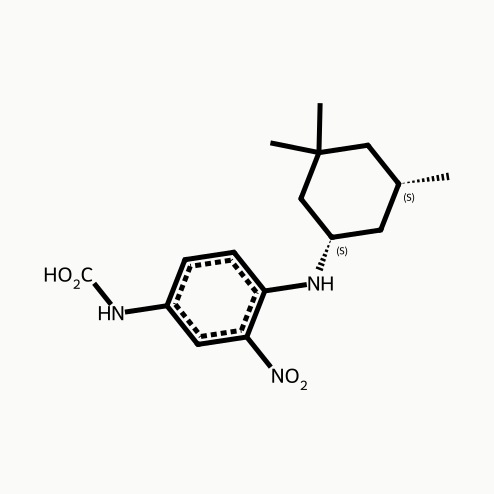 C[C@@H]1C[C@H](Nc2ccc(NC(=O)O)cc2[N+](=O)[O-])CC(C)(C)C1